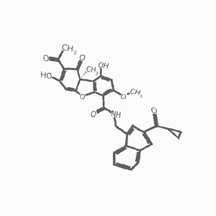 COc1cc(O)c2c(c1C(=O)NCc1cc(C(=O)C3CC3)cc3ccccc13)OC1=CC(O)=C(C(C)=O)C(=O)[C@]12C